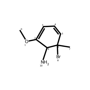 COC1=CC=CC(C)(Br)C1N